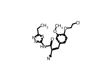 CCc1nnc(NC(=O)C(C#N)=Cc2ccc(OCCCl)c(OC)c2)s1